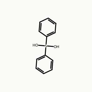 OS(O)(c1ccccc1)c1ccccc1